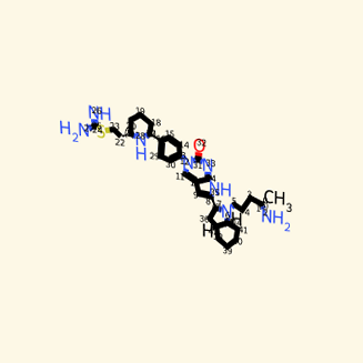 C[C@H](N)CCCN1[C@H](c2cc3cn(-c4ccc([C@@H]5CCC[C@@H](CCSC(=N)N)N5)cc4)c(=O)nc3[nH]2)C[C@H]2CCCC[C@@H]21